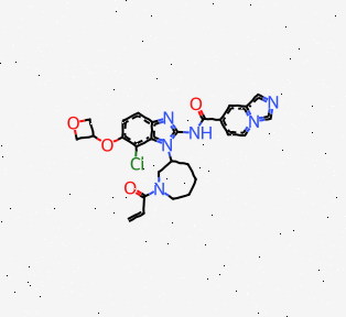 C=CC(=O)N1CCCCC(n2c(NC(=O)c3ccn4cncc4c3)nc3ccc(OC4COC4)c(Cl)c32)C1